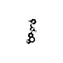 O=C1OC(Cn2ccccc2=O)CN1c1ccc2c(c1)CCCc1cnoc1-2